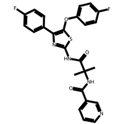 CC(C)(NC(=O)c1cccnc1)C(=O)Nc1nc(-c2ccc(F)cc2)c(Oc2ccc(F)cc2)s1